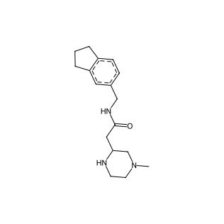 CN1CCNC(CC(=O)NCc2ccc3c(c2)CCC3)C1